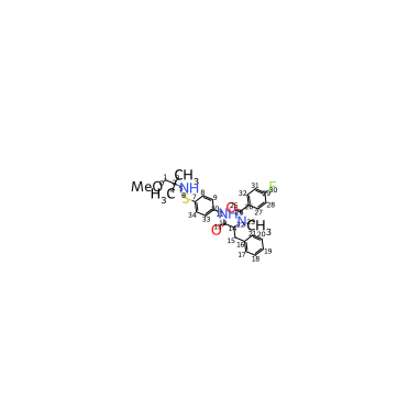 COCC(C)(C)NSc1ccc(NC(=O)C(Cc2ccccc2)N(C)C(=O)c2ccc(F)cc2)cc1